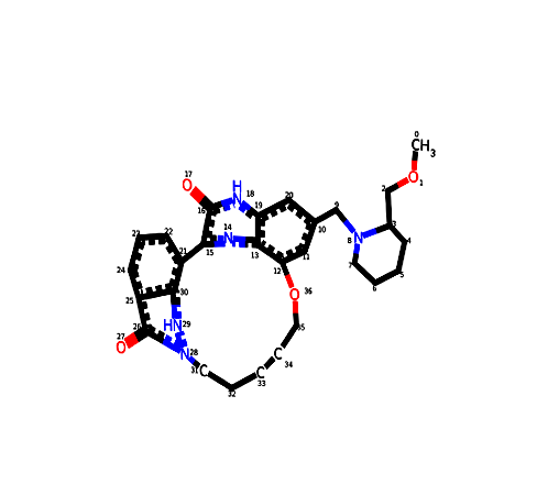 COCC1CCCCN1Cc1cc2c3nc(c(=O)[nH]c3c1)-c1cccc3c(=O)n([nH]c13)CCCCCO2